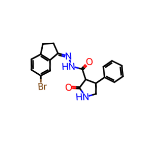 O=C1NCC(c2ccccc2)C1C(=O)N/N=C1/CCc2ccc(Br)cc21